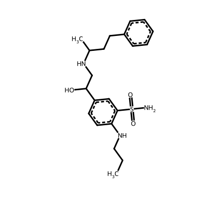 CCCNc1ccc(C(O)CNC(C)CCc2ccccc2)cc1S(N)(=O)=O